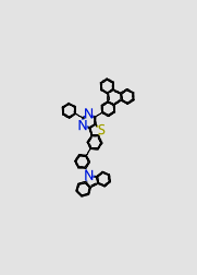 c1ccc(-c2nc(-c3ccc4c5ccccc5c5ccccc5c4c3)c3sc4ccc(-c5cccc(-n6c7ccccc7c7ccccc76)c5)cc4c3n2)cc1